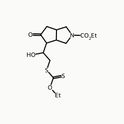 CCOC(=O)N1CC2CC(=O)C(C(O)CSC(=S)OCC)C2C1